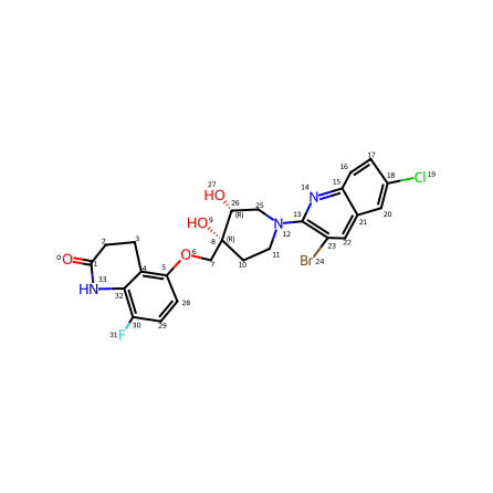 O=C1CCc2c(OC[C@]3(O)CCN(c4nc5ccc(Cl)cc5cc4Br)C[C@H]3O)ccc(F)c2N1